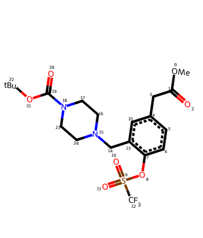 COC(=O)Cc1ccc(OS(=O)(=O)C(F)(F)F)c(CN2CCN(C(=O)OC(C)(C)C)CC2)c1